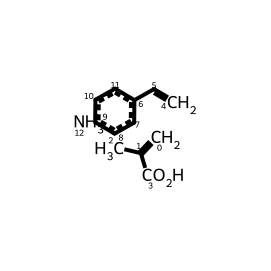 C=C(C)C(=O)O.C=Cc1ccccc1.N